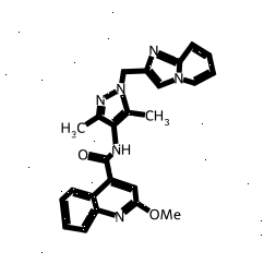 COc1cc(C(=O)Nc2c(C)nn(Cc3cn4ccccc4n3)c2C)c2ccccc2n1